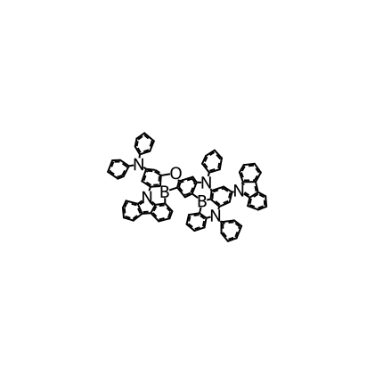 c1ccc(N(c2ccccc2)c2cc3c4c(c2)-n2c5ccccc5c5cccc(c52)B4c2cc4c(cc2O3)N(c2ccccc2)c2cc(-n3c5ccccc5c5ccccc53)cc3c2B4c2ccccc2N3c2ccccc2)cc1